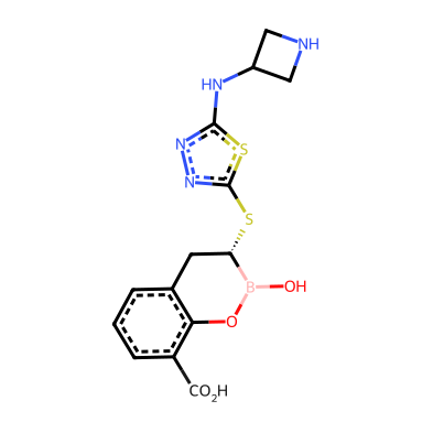 O=C(O)c1cccc2c1OB(O)[C@@H](Sc1nnc(NC3CNC3)s1)C2